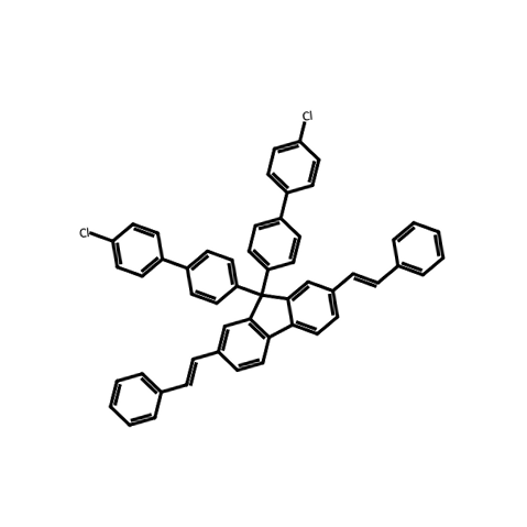 Clc1ccc(-c2ccc(C3(c4ccc(-c5ccc(Cl)cc5)cc4)c4cc(/C=C/c5ccccc5)ccc4-c4ccc(/C=C/c5ccccc5)cc43)cc2)cc1